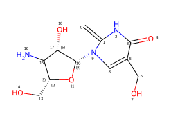 C=C1NC(=O)C(CO)=CN1[C@@H]1O[C@H](CO)C(N)[C@@H]1O